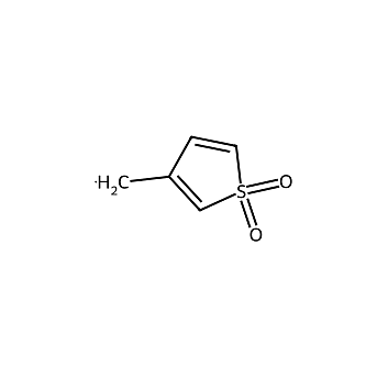 [CH2]C1=CS(=O)(=O)C=C1